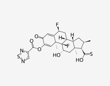 C[C@@H]1C[C@H]2[C@H]3C[C@H](F)C4=CC(=O)C(OC(=O)c5cnsn5)=C[C@]4(C)[C@@]3(F)[C@@H](O)C[C@]2(C)[C@@H]1C(O)=S